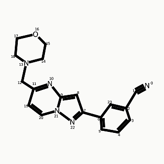 N#Cc1cccc(-c2cc3nc(CN4CCOCC4)ccn3n2)c1